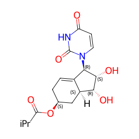 CC(C)C(=O)O[C@H]1CC=C2[C@@H](n3ccc(=O)[nH]c3=O)[C@H](O)[C@H](O)[C@H]2C1